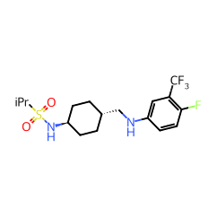 CC(C)S(=O)(=O)N[C@H]1CC[C@H](CNc2ccc(F)c(C(F)(F)F)c2)CC1